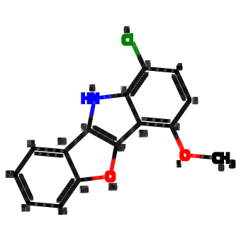 COc1ccc(Cl)c2[nH]c3c4ccccc4oc3c12